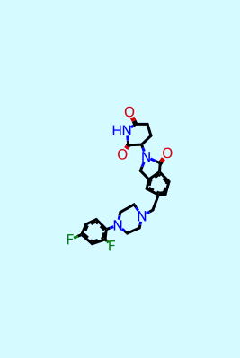 O=C1CCC(N2Cc3cc(CN4CCN(c5ccc(F)cc5F)CC4)ccc3C2=O)C(=O)N1